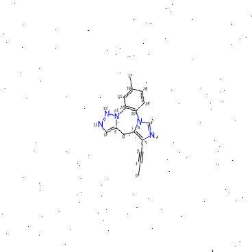 CC#Cc1ncn2c1Cc1cnnn1-c1cc(C)ccc1-2